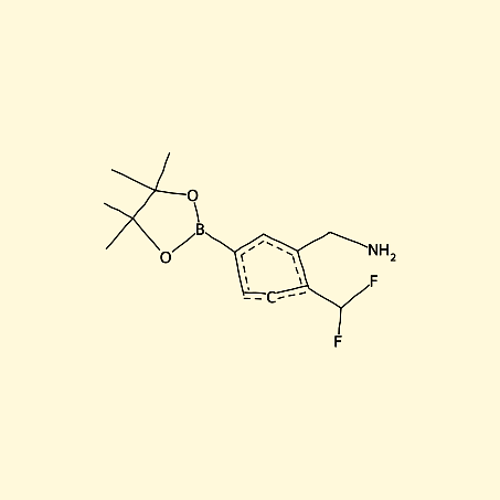 CC1(C)OB(c2ccc(C(F)F)c(CN)c2)OC1(C)C